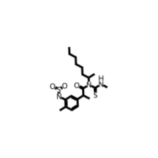 CCCCCCC(C)N(C(=O)C(C)c1ccc(C)c(N=S(=O)=O)c1)C(=S)NC